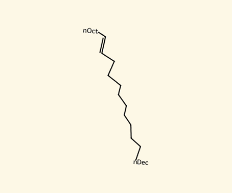 CCCCCCCCC=CCCCCCCCCCCCCCCCCCCC